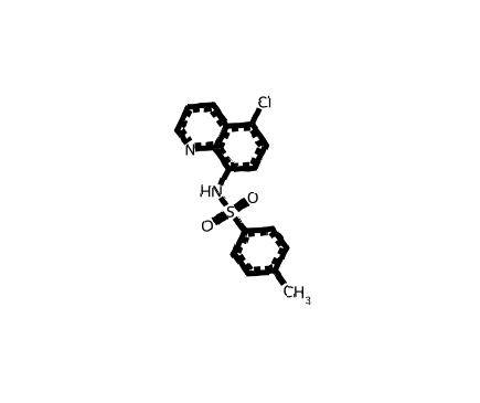 Cc1ccc(S(=O)(=O)Nc2ccc(Cl)c3cccnc23)cc1